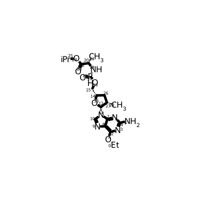 CCOc1nc(N)nc2c1ncn2[C@@H]1O[C@H](CO[PH](=O)N[C@@H](C)C(=O)OC(C)C)C[C@@H]1C